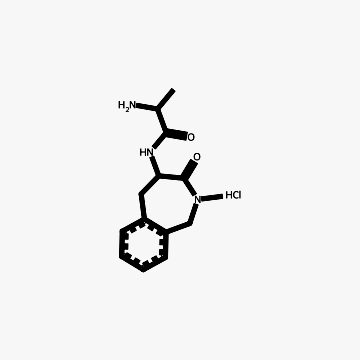 CC(N)C(=O)NC1Cc2ccccc2CN(C)C1=O.Cl